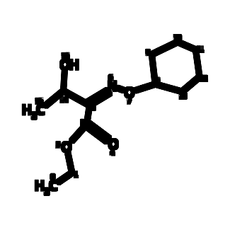 CCOC(=O)C(=NOC1CCCCC1)C(C)O